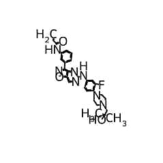 C=CC(=O)Nc1cccc(-c2noc3cnc(Nc4ccc(N5CCN(CC(C)(C)O)CC5)c(F)c4)nc23)c1